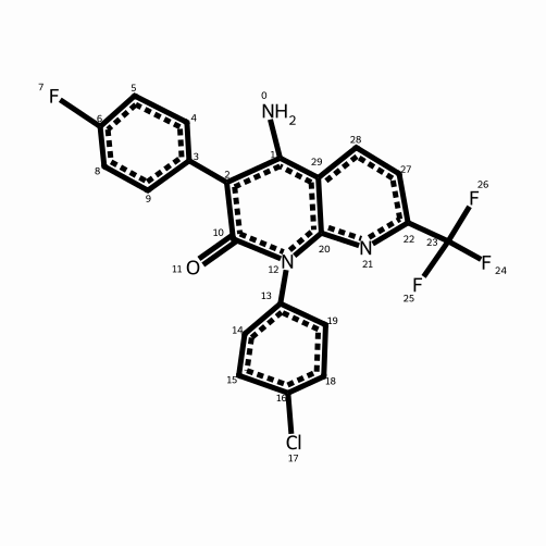 Nc1c(-c2ccc(F)cc2)c(=O)n(-c2ccc(Cl)cc2)c2nc(C(F)(F)F)ccc12